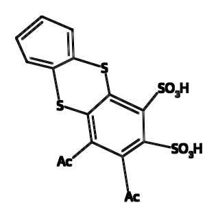 CC(=O)c1c2c(c(S(=O)(=O)O)c(S(=O)(=O)O)c1C(C)=O)Sc1ccccc1S2